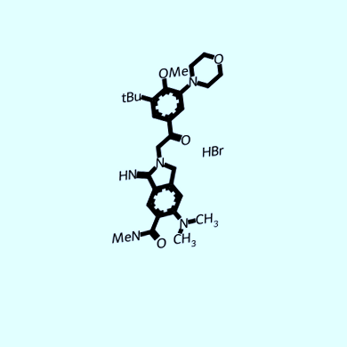 Br.CNC(=O)c1cc2c(cc1N(C)C)CN(CC(=O)c1cc(N3CCOCC3)c(OC)c(C(C)(C)C)c1)C2=N